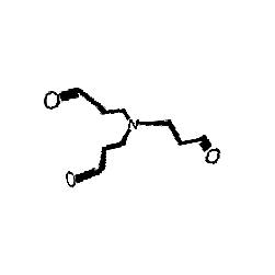 O=CCCN(CCC=O)CCC=O